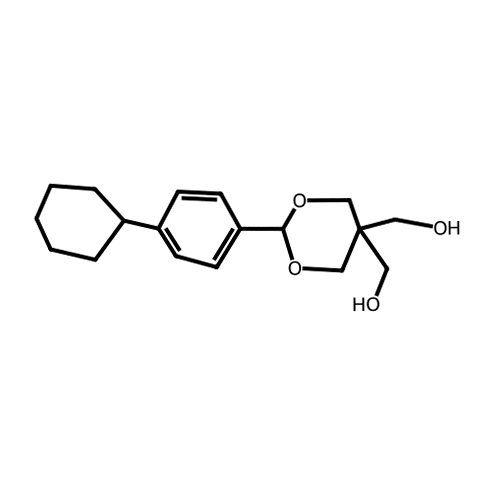 OCC1(CO)COC(c2ccc(C3CCCCC3)cc2)OC1